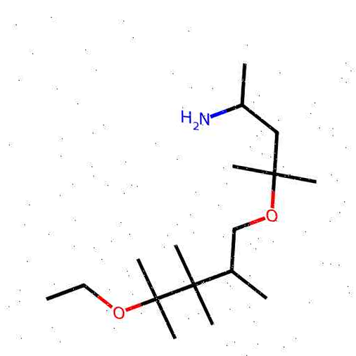 CCOC(C)(C)C(C)(C)C(C)COC(C)(C)CC(C)N